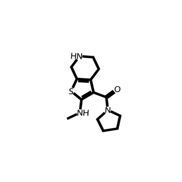 CNc1sc2c(c1C(=O)N1CCCC1)CCNC2